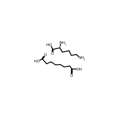 NCCCC[C@H](N)C(=O)O.O=C(O)CCCCCCC(=O)O